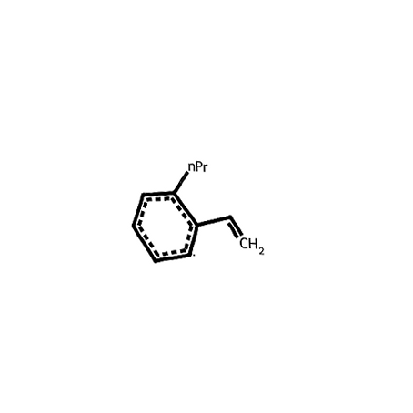 C=Cc1[c]cccc1CCC